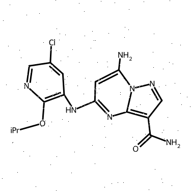 CC(C)Oc1ncc(Cl)cc1Nc1cc(N)n2ncc(C(N)=O)c2n1